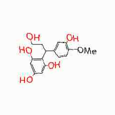 COc1ccc(C(CCO)c2c(O)cc(O)cc2O)cc1O